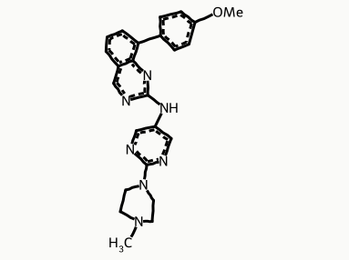 COc1ccc(-c2cccc3cnc(Nc4cnc(N5CCN(C)CC5)nc4)nc23)cc1